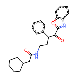 O=C(CC1CCCCC1)NCCC(C(=O)c1nc2ccccc2o1)c1ccccc1